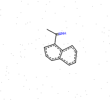 CC(=N)c1cccc2ccccc12